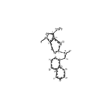 CCCc1nn(C)c2cnc(N(C)Cc3cccc4ccccc34)nc12